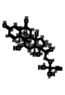 CCC(C)C(O)(O)OCC(=O)[C@]1(O)[C@@H](C)C[C@H]2[C@@H]3CC(=O)C4=CC(=O)C=C[C@]4(C)[C@@]3(F)[C@@H](O)C[C@@]21C